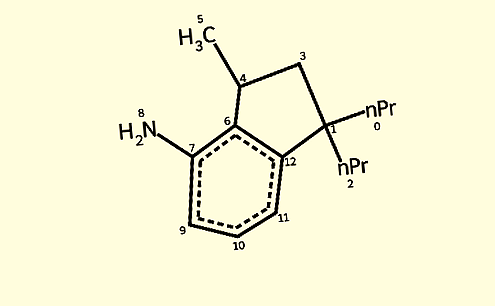 CCCC1(CCC)CC(C)c2c(N)cccc21